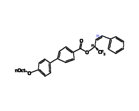 CCCCCCCCOc1ccc(-c2ccc(C(=O)O[C@@H](/C=C\c3ccccc3)C(F)(F)F)cc2)cc1